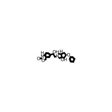 O=C1Nc2ccc([C@@H](O)CN3C[C@H]4C[C@H](Oc5ccccc5)C[C@@]4(O)C3)cc2CO1